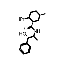 CC(C)C1CC[C@@H](C)C[C@H]1C(=O)NC(C)[C@@H](O)c1ccccc1